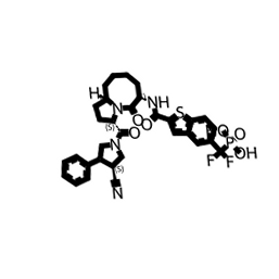 N#C[C@@H]1CN(C(=O)[C@@H]2CC[C@@H]3CCCC[C@H](NC(=O)c4cc5cc(C(F)(F)P(=O)(O)O)ccc5s4)C(=O)N32)CC1c1ccccc1